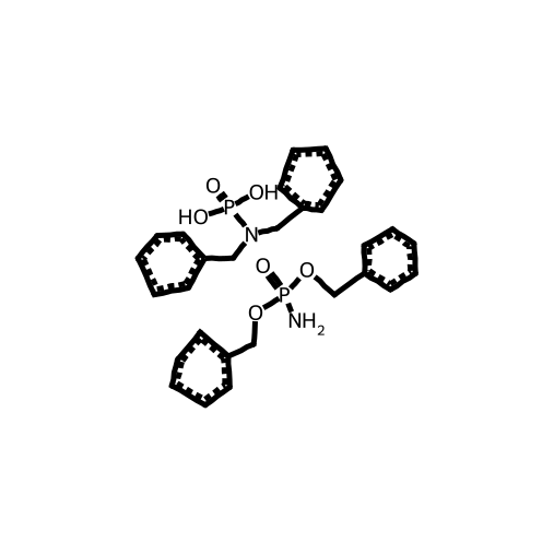 NP(=O)(OCc1ccccc1)OCc1ccccc1.O=P(O)(O)N(Cc1ccccc1)Cc1ccccc1